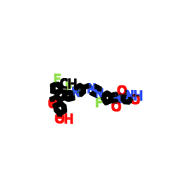 Cc1cc(C2COc3cc(O)ccc3C2c2ccc(N3CCC(CN4CCN(c5cc6c(cc5F)C(=O)N(C5CCC(=O)NC5=O)C6)CC4)CC3)c(F)c2)ccc1F